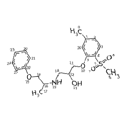 Cc1ccc(S(C)(=O)=O)c(OCC(O)CNC(C)COc2ccccc2)c1